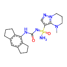 CN1CCCn2ncc(S(N)(=O)=NC(=O)Nc3c4c(cc5c3CCC5)CCC4)c21